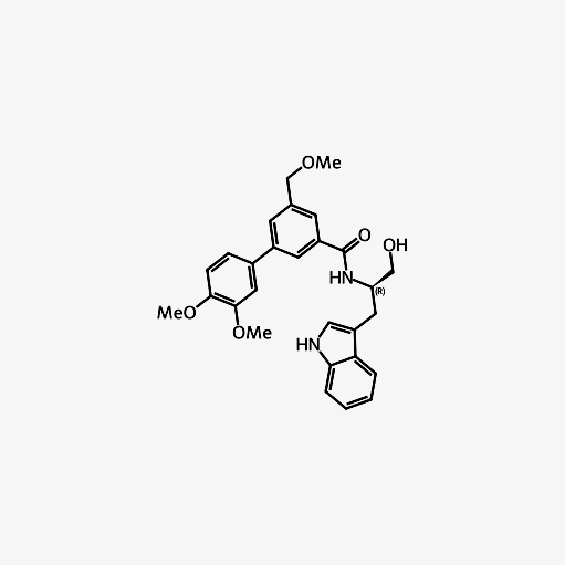 COCc1cc(C(=O)N[C@@H](CO)Cc2c[nH]c3ccccc23)cc(-c2ccc(OC)c(OC)c2)c1